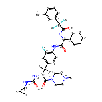 CCC(C)(c1ccc(NC(=O)[C@@H](NC(=O)C(F)(F)c2cccc(C#N)c2)C2CCCCC2)c(F)c1)[C@@H](NC(=O)NC1CC1)C(=O)N1CCN(C)CC1